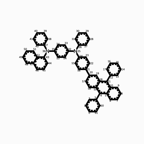 c1ccc(-c2c3ccccc3c(-c3ccccc3)c3cc(-c4ccc(N(c5ccccc5)c5ccc(N(c6ccccc6)c6cccc7ccccc67)cc5)cc4)ccc23)cc1